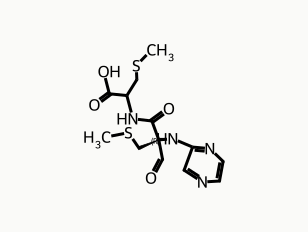 CSCC(NC(=O)[C@](C=O)(CSC)Nc1cnccn1)C(=O)O